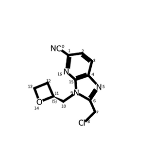 N#Cc1ccc2nc(CCl)n(C[C@@H]3CCO3)c2n1